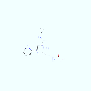 COC(=O)NCCCN/C(=C(/C)C(=N)C(C)NC1CC1)c1ncccc1F